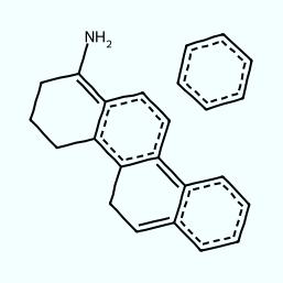 NC1=c2ccc3c(c2CCC1)CC=c1ccccc1=3.c1ccccc1